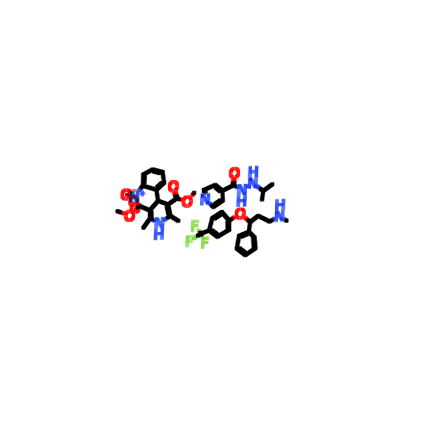 CC(C)NNC(=O)c1ccncc1.CNCCC(Oc1ccc(C(F)(F)F)cc1)c1ccccc1.COC(=O)C1=C(C)NC(C)=C(C(=O)OC)C1c1ccccc1[N+](=O)[O-]